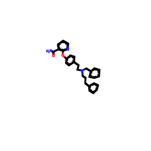 NC(=O)c1cccnc1Oc1ccc(CCN(CCCc2ccccc2)Cc2ccccc2)cc1